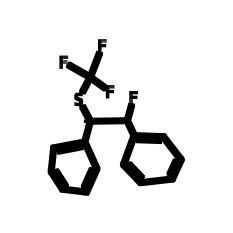 FC([C](SC(F)(F)F)c1ccccc1)c1ccccc1